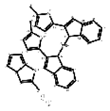 CC1=CC2C=CC=C2S1.Cc1ccc(C2=Cc3ccccc3[CH]2[Zr+2][CH]2C(c3ccc(C)s3)=Cc3ccccc32)s1.[Cl-].[Cl-]